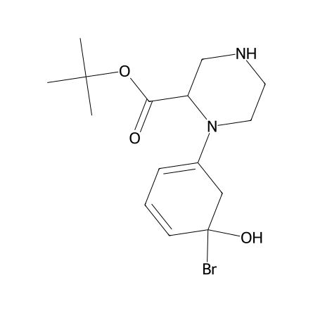 CC(C)(C)OC(=O)C1CNCCN1C1=CC=CC(O)(Br)C1